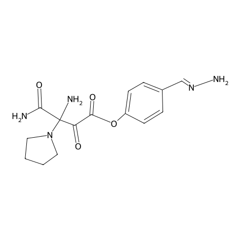 NN=Cc1ccc(OC(=O)C(=O)C(N)(C(N)=O)N2CCCC2)cc1